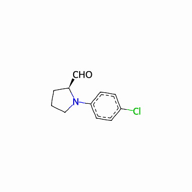 O=C[C@@H]1CCCN1c1ccc(Cl)cc1